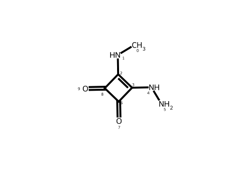 CNc1c(NN)c(=O)c1=O